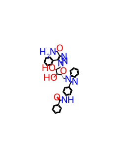 NC(=O)c1nnn([C@@H]2O[C@H](Cn3c(-c4ccc(NC(=O)c5ccccc5)cc4)nc4ccccc43)[C@@H](O)[C@H]2O)c1-c1ccccc1